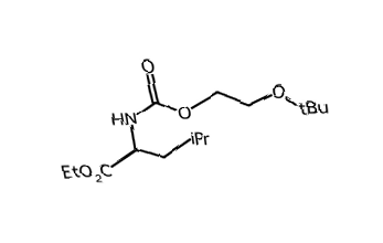 CCOC(=O)C(CC(C)C)NC(=O)OCCOC(C)(C)C